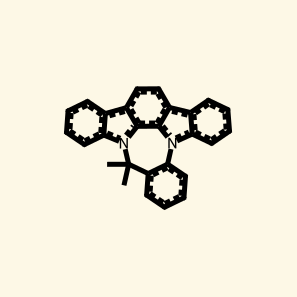 CC1(C)c2ccccc2-n2c3ccccc3c3ccc4c5ccccc5n1c4c32